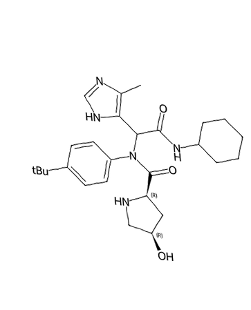 Cc1nc[nH]c1C(C(=O)NC1CCCCC1)N(C(=O)[C@H]1C[C@@H](O)CN1)c1ccc(C(C)(C)C)cc1